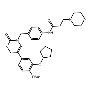 COc1ccc(C2=NN(Cc3ccc(NC(=O)CCN4CCSCC4)cc3)C(=O)SC2)cc1OC1CCCC1